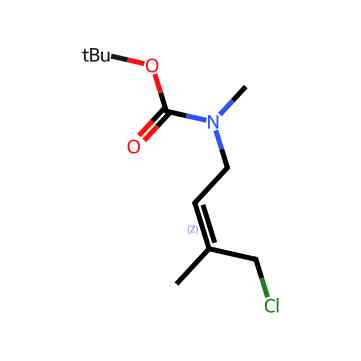 C/C(=C/CN(C)C(=O)OC(C)(C)C)CCl